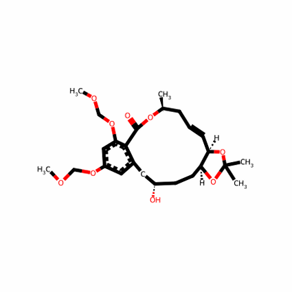 COCOc1cc2c(c(OCOC)c1)C(=O)O[C@@H](C)C/C=C/[C@H]1OC(C)(C)O[C@H]1CC[C@H](O)C2